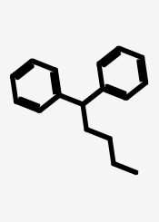 CCCCC(c1ccccc1)c1ccccc1